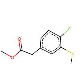 COC(=O)Cc1ccc(F)c(SC)c1